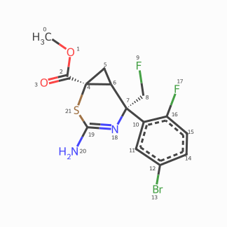 COC(=O)[C@]12CC1[C@@](CF)(c1cc(Br)ccc1F)N=C(N)S2